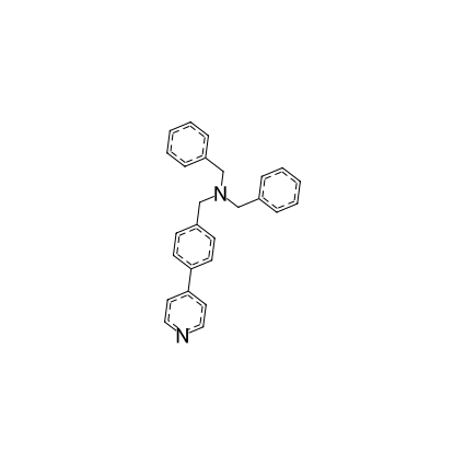 c1ccc(CN(Cc2ccccc2)Cc2ccc(-c3ccncc3)cc2)cc1